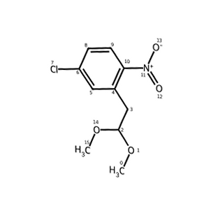 COC(Cc1cc(Cl)ccc1[N+](=O)[O-])OC